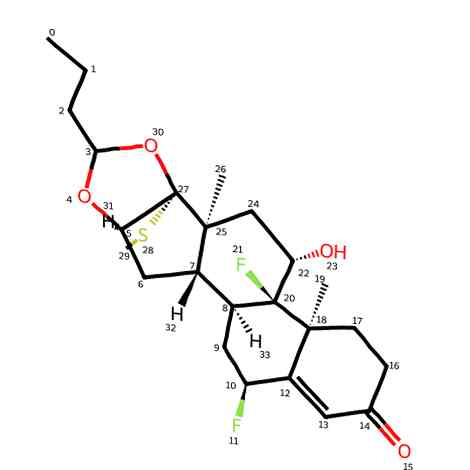 CCCC1O[C@@H]2C[C@H]3[C@@H]4C[C@H](F)C5=CC(=O)CC[C@]5(C)[C@@]4(F)[C@@H](O)C[C@]3(C)[C@]2(SC)O1